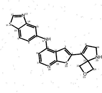 C1=C(c2cc3c(Nc4ccc5scnc5c4)ccnc3s2)C2(COC2)NC1